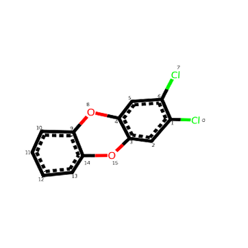 Clc1cc2c(cc1Cl)Oc1ccccc1O2